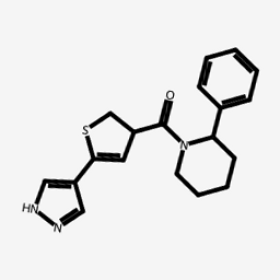 O=C(C1C=C(c2cn[nH]c2)SC1)N1CCCCC1c1ccccc1